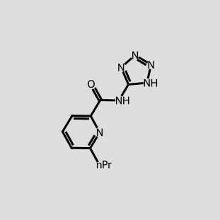 CCCc1cccc(C(=O)Nc2nnn[nH]2)n1